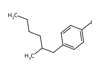 CCCC[C](C)Cc1ccc(I)cc1